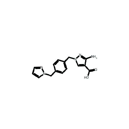 Nc1nn(Cc2ccc(Cn3cccn3)cc2)cc1C(=O)O